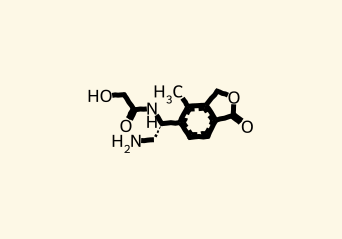 Cc1c([C@H](CN)NC(=O)CO)ccc2c1COC2=O